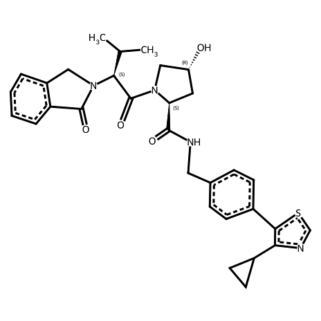 CC(C)[C@@H](C(=O)N1C[C@H](O)C[C@H]1C(=O)NCc1ccc(-c2scnc2C2CC2)cc1)N1Cc2ccccc2C1=O